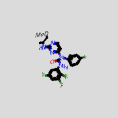 COCC(C)Nc1nccc(N(C(=O)Nc2cc(F)cc(F)c2F)c2ccc(F)cc2)n1